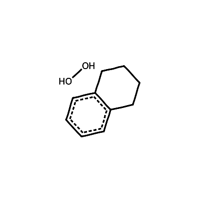 OO.c1ccc2c(c1)CCCC2